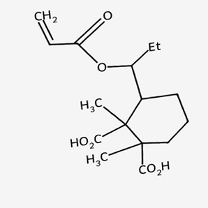 C=CC(=O)OC(CC)C1CCCC(C)(C(=O)O)C1(C)C(=O)O